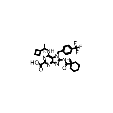 C[C@@H](Nc1nc(C(=O)O)nc2nc(NC(=O)C3(C)CCCCC3)n(Cc3ccc(C(F)(F)F)cc3)c12)C1CCC1